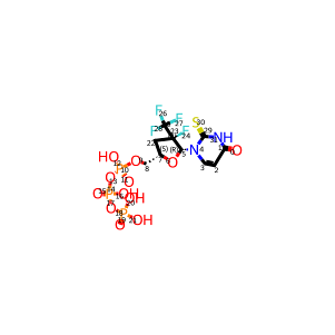 O=c1ccn([C@@H]2O[C@H](COP(=O)(O)OP(=O)(O)OP(=O)(O)O)C[C@]2(F)C(F)(F)F)c(=S)[nH]1